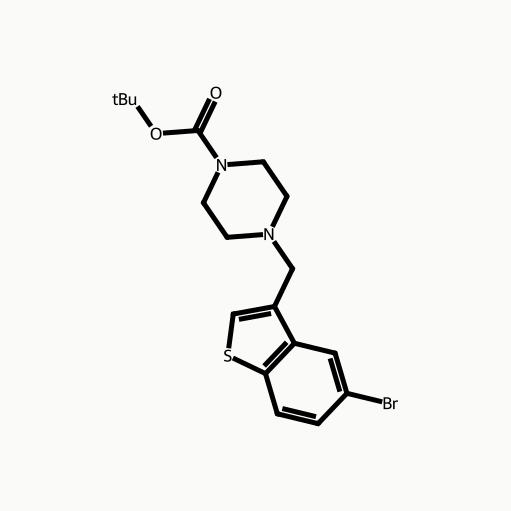 CC(C)(C)OC(=O)N1CCN(Cc2csc3ccc(Br)cc23)CC1